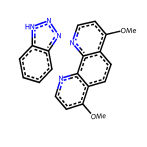 COc1ccnc2c1ccc1c(OC)ccnc12.c1ccc2[nH]nnc2c1